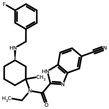 CCN(C(=O)c1nc2cc(C#N)ccc2[nH]1)C1(C)CCC[C@@H](NCc2cccc(F)c2)C1